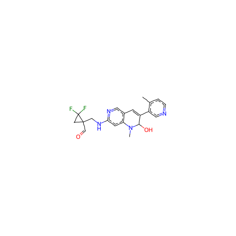 Cc1ccncc1C1=Cc2cnc(NCC3(C=O)CC3(F)F)cc2N(C)C1O